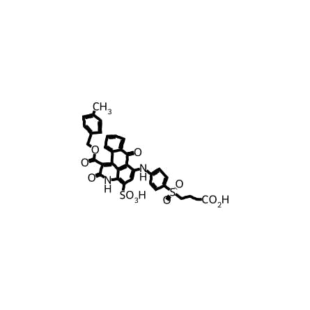 Cc1ccc(COC(=O)c2c3c4c(c(Nc5ccc(S(=O)(=O)CCCC(=O)O)cc5)cc(S(=O)(=O)O)c4[nH]c2=O)C(=O)c2ccccc2-3)cc1